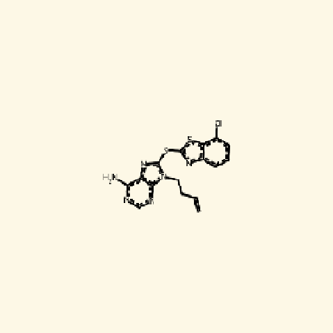 C=CCCn1c(Sc2nc3cccc(Cl)c3s2)nc2c(N)ncnc21